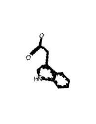 [O]C(=O)Cc1c[nH]c2ccccc12